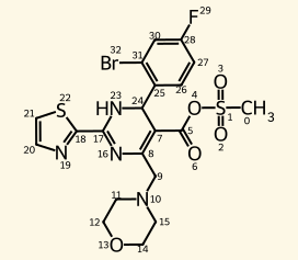 CS(=O)(=O)OC(=O)C1=C(CN2CCOCC2)N=C(c2nccs2)NC1c1ccc(F)cc1Br